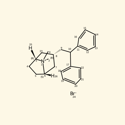 C[N+]1(C)[C@@H]2CC[C@H]1C[C@@H](CC(c1ccccc1)c1ccccc1)C2.[Br-]